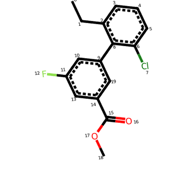 CCc1cccc(Cl)c1-c1cc(F)cc(C(=O)OC)c1